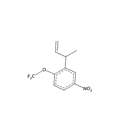 C=C[C](C)c1cc([N+](=O)[O-])ccc1OC(F)(F)F